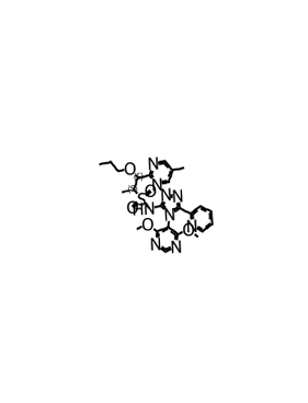 CCCO[C@@H](c1ncc(C)cn1)[C@H](C)S(=O)(=O)Nc1nnc(-c2ccccn2)n1-c1c(OC)ncnc1OC